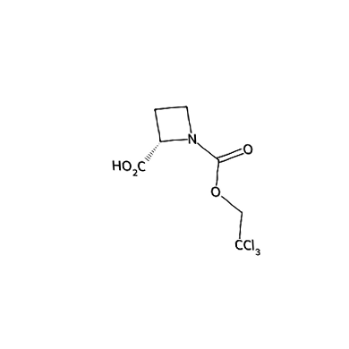 O=C(O)[C@@H]1CCN1C(=O)OCC(Cl)(Cl)Cl